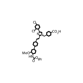 COc1cc(-c2ccc(C=Cc3nc(-c4ccc(Cl)cc4Cl)cn3Cc3ccc(C(=O)O)cc3)cc2)ccc1NC(=O)OC(C)C